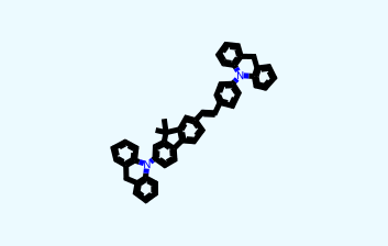 CC1(C)c2cc(/C=C/c3ccc(N4c5ccccc5Cc5ccccc54)cc3)ccc2-c2ccc(N3c4ccccc4Cc4ccccc43)cc21